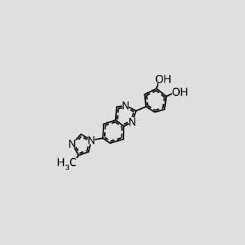 Cc1cn(-c2ccc3nc(-c4ccc(O)c(O)c4)ncc3c2)cn1